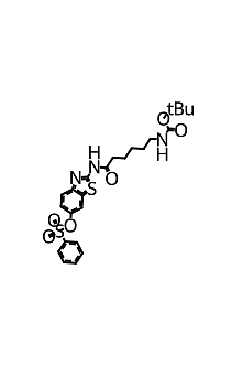 CC(C)(C)OC(=O)NCCCCCC(=O)Nc1nc2ccc(OS(=O)(=O)c3ccccc3)cc2s1